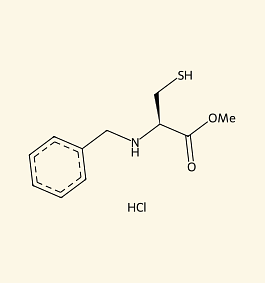 COC(=O)[C@H](CS)NCc1ccccc1.Cl